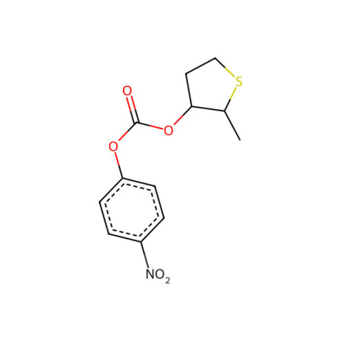 CC1SCCC1OC(=O)Oc1ccc([N+](=O)[O-])cc1